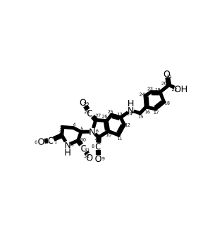 O=C=C1CCC(n2c(=C=O)c3ccc(NCc4ccc(C(=O)O)cc4)cc3c2=C=O)C(=C=O)N1